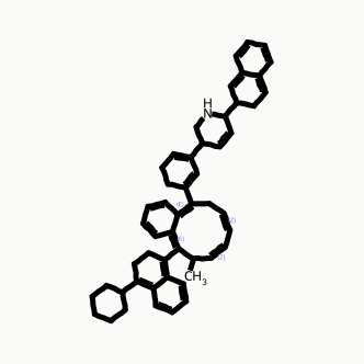 CC1/C=C\C=C/C/C(C2=CC(C3C=CC(C4C=c5ccccc5=CC4)NC3)=CCC2)=c2/cccc/c2=C/1C1=c2ccccc2=C(C2CCCCC2)CC1